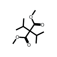 COC(=O)C(C(=O)OC)(C(C)C)C(C)C